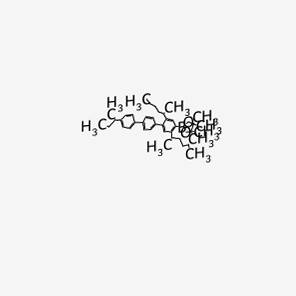 CCCCC(C)c1cc(-c2ccc(-c3ccc(C(C)CC)cc3)cc2)c(C(C)CCCC)cc1B1OC(C)(C)C(C)(C)O1